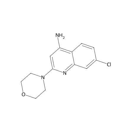 Nc1cc(N2CCOCC2)nc2cc(Cl)ccc12